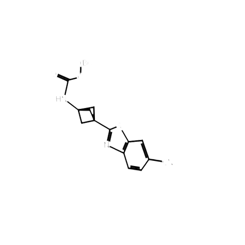 CC(C)(C)OC(=O)NC12CC(c3nc4ccc(C#N)cc4s3)(C1)C2